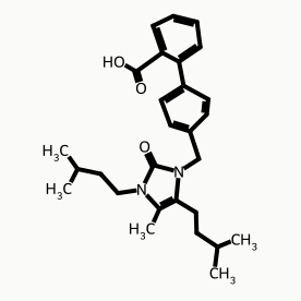 Cc1c(CCC(C)C)n(Cc2ccc(-c3ccccc3C(=O)O)cc2)c(=O)n1CCC(C)C